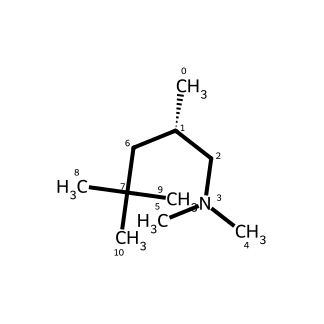 C[C@H](CN(C)C)CC(C)(C)C